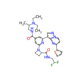 CCN(CC)C(C)CNC(=O)c1cc(-c2cnn3ccc(-c4cccs4)nc23)nc(N2CCC2C(=O)NCC(F)F)c1